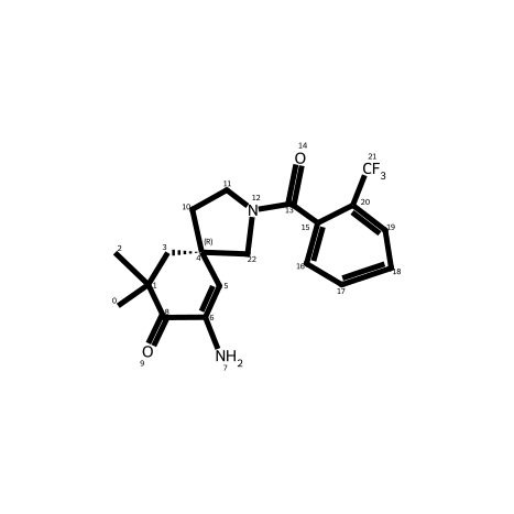 CC1(C)C[C@]2(C=C(N)C1=O)CCN(C(=O)c1ccccc1C(F)(F)F)C2